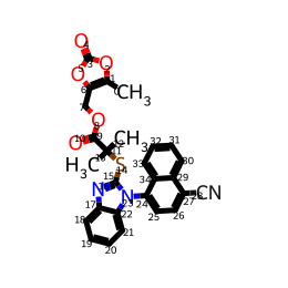 Cc1oc(=O)oc1COC(=O)C(C)(C)Sc1nc2ccccc2n1-c1ccc(C#N)c2ccccc12